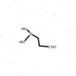 CCCCN(CC[C]=O)CCCC